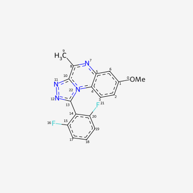 COc1ccc2c(c1)nc(C)c1nnc(-c3c(F)cccc3F)n12